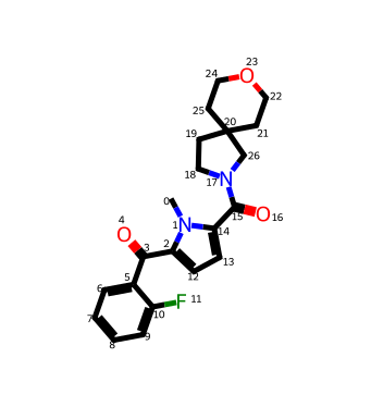 Cn1c(C(=O)c2ccccc2F)ccc1C(=O)N1CCC2(CCOCC2)C1